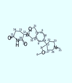 COCC1(c2ccc3c(c2)CN(C2CCC(=O)NC2=O)OC3)CCN(C)CC1